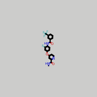 CNC(=O)c1cc(Oc2ccc(NC(=O)c3cccc(C(F)(F)F)c3)c(F)c2)ccn1